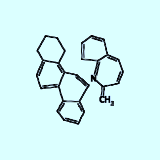 C=C1C=CC=c2ccccc2=N1.c1ccc2c(c1)ccc1c3c(ccc12)CCCC3